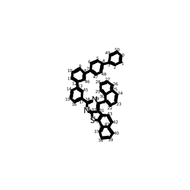 c1ccc(-c2ccc(-c3cccc(-c4cccc(-c5nc(-c6cccc7ccccc67)c6c(n5)sc5c7ccccc7ccc56)c4)c3)cc2)cc1